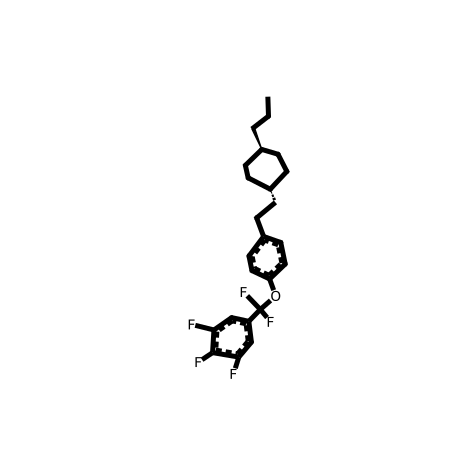 CCC[C@H]1CC[C@H](CCc2ccc(OC(F)(F)c3cc(F)c(F)c(F)c3)cc2)CC1